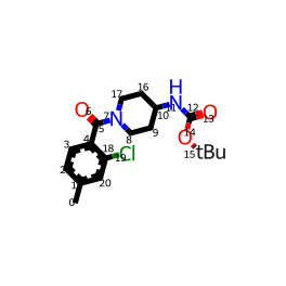 Cc1ccc(C(=O)N2CCC(NC(=O)OC(C)(C)C)CC2)c(Cl)c1